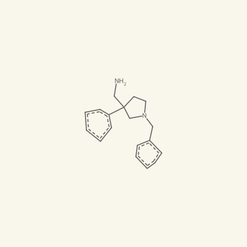 NCC1(c2ccccc2)CCN(Cc2ccccc2)C1